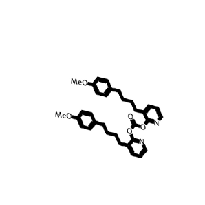 COc1ccc(CCCCc2cccnc2OC(=O)Oc2ncccc2CCCCc2ccc(OC)cc2)cc1